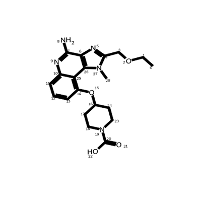 CCOCc1nc2c(N)nc3cccc(OC4CCN(C(=O)O)CC4)c3c2n1C